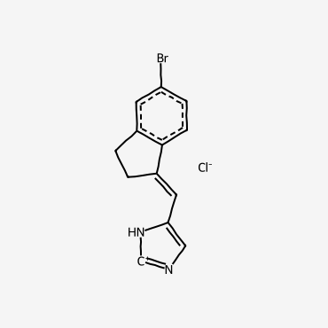 Brc1ccc2c(c1)CCC2=CC1=CN=[C+]N1.[Cl-]